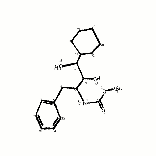 CC(C)(C)OC(=O)NC(Cc1ccccc1)C(O)C(S)C1CCCCC1